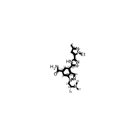 CCn1nc(C)cc1-c1nnc(-c2cc(C(N)=O)cc3c2cnn3C[C@@H](C)N(C)C)[nH]1